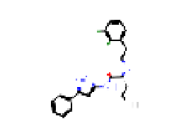 CCC[C@H](NCCc1cccc(F)c1F)C(=O)Nc1cc(-c2ccccc2)n[nH]1